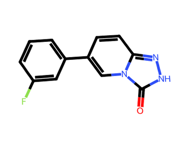 O=c1[nH]nc2ccc(-c3cccc(F)c3)cn12